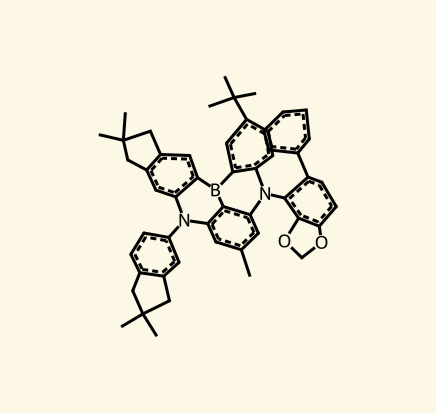 Cc1cc2c3c(c1)N(c1c(-c4ccccc4)ccc4c1OCO4)c1ccc(C(C)(C)C)cc1B3c1cc3c(cc1N2c1ccc2c(c1)CC(C)(C)C2)CC(C)(C)C3